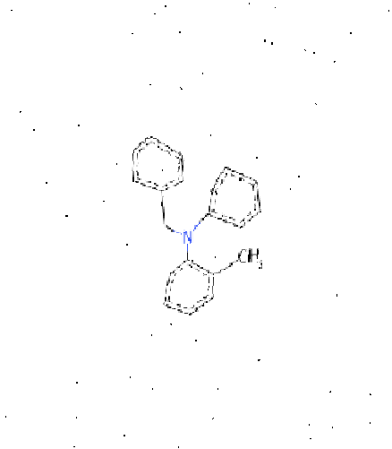 Cc1ccccc1N(Cc1ccccc1)c1ccccc1